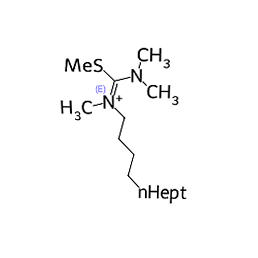 CCCCCCCCCCC/[N+](C)=C(/SC)N(C)C